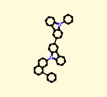 c1ccc(-c2cccc3ccc(-n4c5ccccc5c5cc(-c6ccc7c(c6)c6ccccc6n7-c6ccccc6)ccc54)cc23)cc1